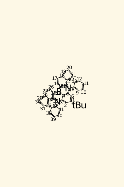 CC(C)(C)c1cc2c3c(c1)N(c1ccccc1)c1c(ccc4ccccc14)B3c1ccc3ccccc3c1N2c1ccccc1